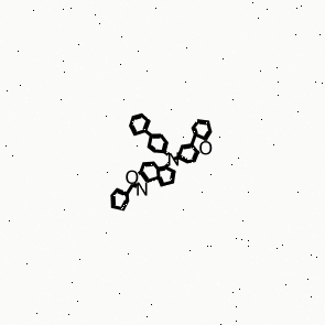 c1ccc(-c2ccc(N(c3ccc4oc5ccccc5c4c3)c3cccc4c3ccc3oc(-c5ccccc5)nc34)cc2)cc1